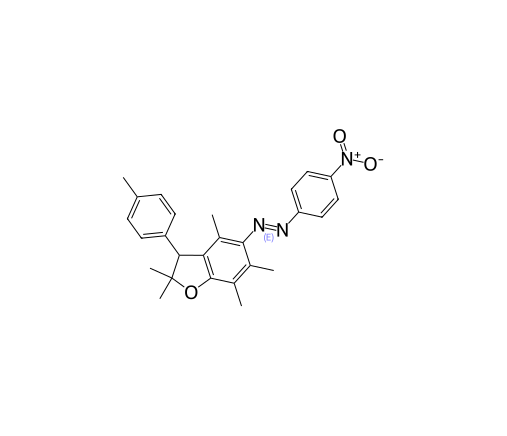 Cc1ccc(C2c3c(C)c(/N=N/c4ccc([N+](=O)[O-])cc4)c(C)c(C)c3OC2(C)C)cc1